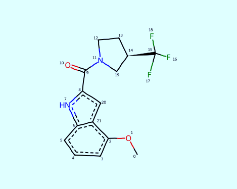 COc1cccc2[nH]c(C(=O)N3CC[C@@H](C(F)(F)F)C3)cc12